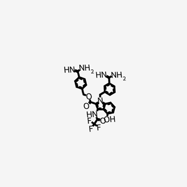 N=C(N)c1ccc(COC(=O)c2c(NC(=O)C(F)(F)F)c3c(O)cccc3n2Cc2cccc(C(=N)N)c2)cc1